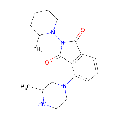 CC1CN(c2cccc3c2C(=O)N(N2CCCCC2C)C3=O)CCN1